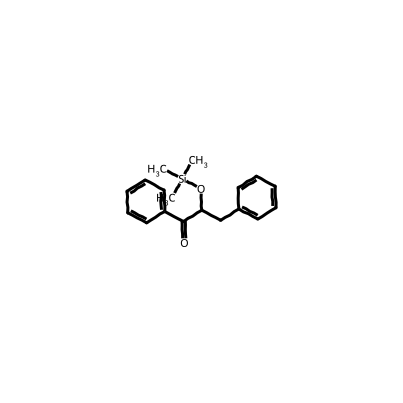 C[Si](C)(C)OC(Cc1ccccc1)C(=O)c1ccccc1